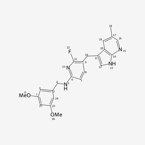 COc1cc(CNc2ccc(Cc3c[nH]c4ncc(C)cc34)c(F)n2)cc(OC)c1